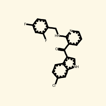 O=C(c1cccnc1NCc1ccc(F)cc1F)c1c[nH]c2cc(Cl)ccc12